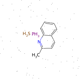 Cc1ccc2ccccc2n1.P.S